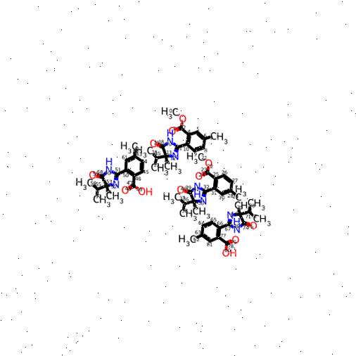 COC(=O)c1cc(C)ccc1C1=NC(C)(C(C)C)C(=O)N1.COC(=O)c1ccc(C)cc1C1=NC(C)(C(C)C)C(=O)N1.Cc1ccc(C(=O)O)c(C2=NC(C)(C(C)C)C(=O)N2)c1.Cc1ccc(C2=NC(C)(C(C)C)C(=O)N2)c(C(=O)O)c1